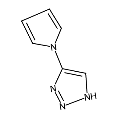 c1ccn(-c2c[nH]nn2)c1